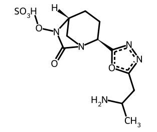 CC(N)Cc1nnc([C@@H]2CC[C@@H]3CN2C(=O)N3OS(=O)(=O)O)o1